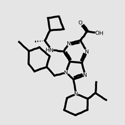 CC1CCC(Cn2c(N3CCCCC3C(C)C)nc3nc(C(=O)O)nc(N[C@H](C)C4CCC4)c32)CC1